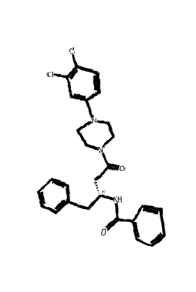 O=C(N[C@@H](CC(=O)N1CCN(c2ccc(Cl)c(Cl)c2)CC1)Cc1ccccc1)c1ccccc1